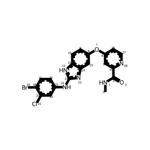 CNC(=O)c1cc(Oc2ccc3[nH]c(Nc4ccc(Br)c(Cl)c4)nc3c2)ccn1